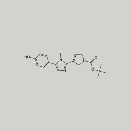 Cn1c(-c2ccc(O)cc2)cnc1C1=CCN(C(=O)OC(C)(C)C)C1